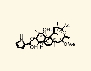 C=C1O[C@H](C(C)=O)[C@H](C)/C=C(\C)[C@]23O[C@@H]4[C@H](C=C[C@@H]2C[C@@H]1OC)[C@H]3[C@H](O)[C@@H](C)[C@H]4OC(=O)c1ccc[nH]1